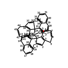 CC1=CC2=C(C=CC=CC2)C1(c1cccc2ccccc12)[Si](C)(C)C1(c2cccc3ccccc23)C(C)=CC2=C1C=CC=CC2